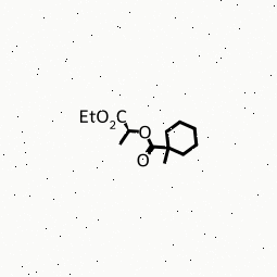 CCOC(=O)[C@H](C)OC(=O)C1(C)CCCCC1